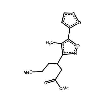 COCCC(CC(=O)OC)c1noc(-c2ccno2)c1C